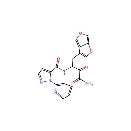 NC(=O)C(=O)C(Cc1coc2cocc12)NC(=O)c1ccnn1-c1ccccn1